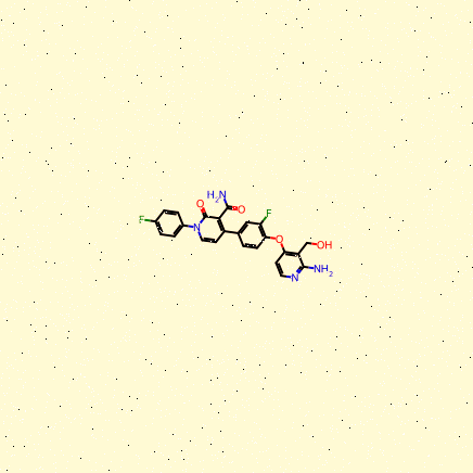 NC(=O)c1c(-c2ccc(Oc3ccnc(N)c3CO)c(F)c2)ccn(-c2ccc(F)cc2)c1=O